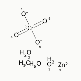 O.O.O.O.[O]=[Cr](=[O])([O-])[O-].[Zn+2]